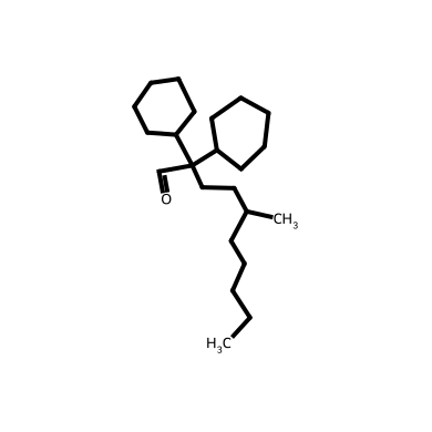 CCCCCC(C)CCC(C=O)(C1CCCCC1)C1CCCCC1